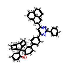 C1=Cc2cc(-c3cc(-c4ccc(-c5ccc6c(c5)C5(c7ccccc7O6)c6ccccc6-c6ccccc65)cc4)nc(-c4ccccc4)n3)cc3cccc(c23)C1